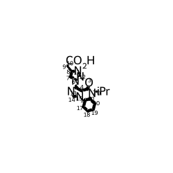 CC(C)n1c(=O)c2c(-n3cc(CC(=O)O)nn3)ncn2c2ccccc21